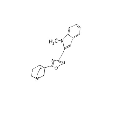 Cn1c(-c2noc(C3CN4CCC3CC4)n2)cc2ccccc21